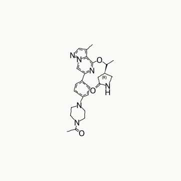 CC(=O)N1CCN(c2ccc(-c3cn4ncc(C)c4c(OC(C)[C@H]4CNC(=O)C4)n3)cc2)CC1